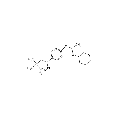 CPC(CC(C)(C)C)c1ccc(OC(C)OC2CCCCC2)cc1